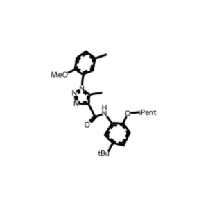 CCCC(C)Oc1ccc(C(C)(C)C)cc1NC(=O)c1nnn(-c2cc(C)ccc2OC)c1C